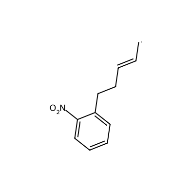 [CH2]/C=C/CCc1ccccc1[N+](=O)[O-]